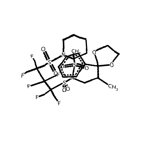 CC(CN(S(C)(=O)=O)S(=O)(=O)C(F)(F)C(F)(F)C(F)(F)S(=O)(=O)N1CCCCC1)C1(c2ccccc2)OCCO1